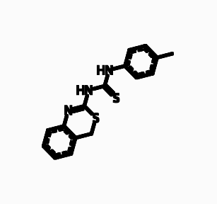 Cc1ccc(NC(=S)NC2=Nc3ccccc3CS2)cc1